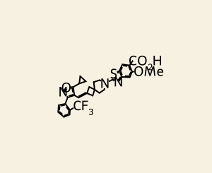 COc1cc2nc(N3CCC4(CC3)CC(=Cc3c(-c5ccccc5C(F)(F)F)noc3C3CC3)C4)sc2cc1C(=O)O